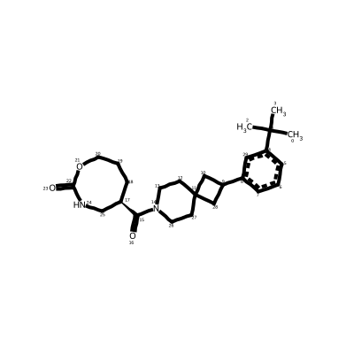 CC(C)(C)c1cccc(C2CC3(CCN(C(=O)[C@@H]4CCCOC(=O)NC4)CC3)C2)c1